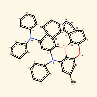 CC(C)(C)c1cc2c3c(c1)N(c1ccccc1)c1cc(N(c4ccccc4)c4ccccc4)c4ccccc4c1B3c1c(ccc3ccccc13)O2